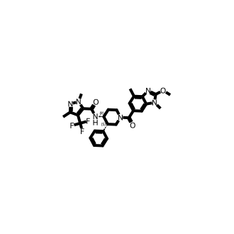 COc1nc2c(C)cc(C(=O)N3CC[C@@H](NC(=O)c4c(C(F)(F)F)c(C)nn4C)[C@@H](c4ccccc4)C3)cc2n1C